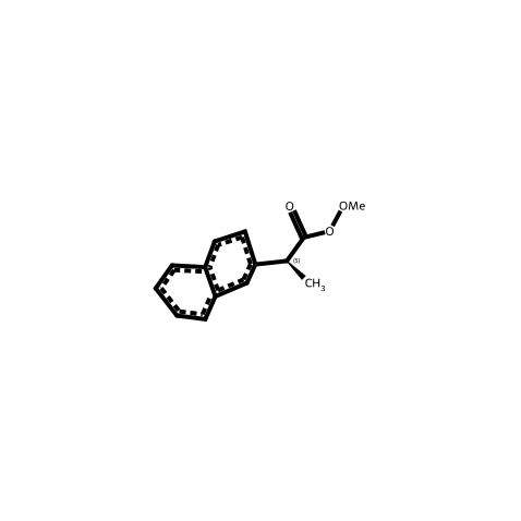 COOC(=O)[C@@H](C)c1ccc2ccccc2c1